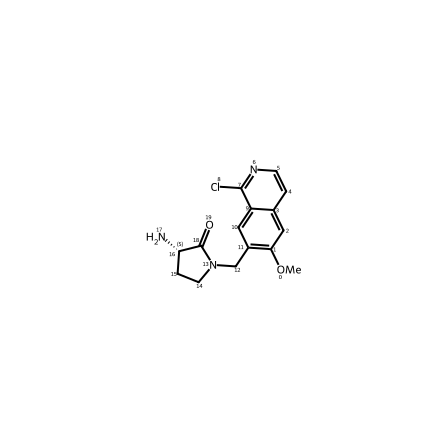 COc1cc2ccnc(Cl)c2cc1CN1CC[C@H](N)C1=O